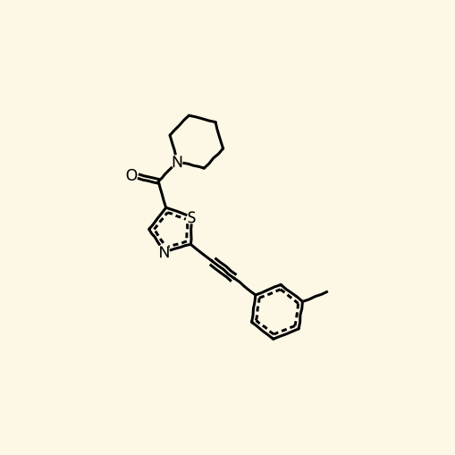 Cc1cccc(C#Cc2ncc(C(=O)N3CCCCC3)s2)c1